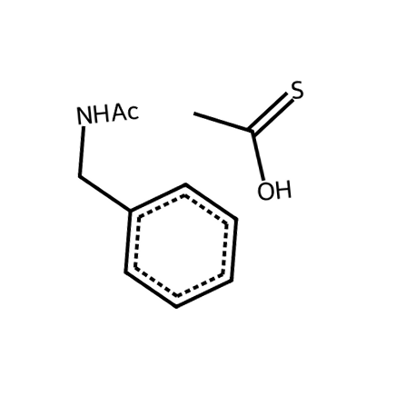 CC(=O)NCc1ccccc1.CC(O)=S